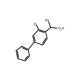 O=C(O)C(S)c1ccc(-c2ccccc2)cc1Cl